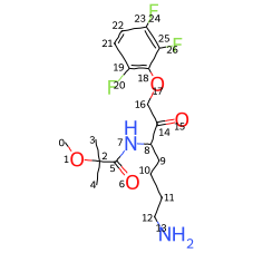 COC(C)(C)C(=O)NC(CCCCN)C(=O)COc1c(F)ccc(F)c1F